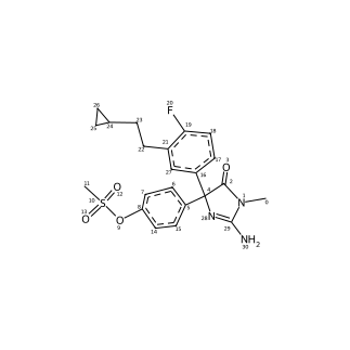 CN1C(=O)C(c2ccc(OS(C)(=O)=O)cc2)(c2ccc(F)c(CCC3CC3)c2)N=C1N